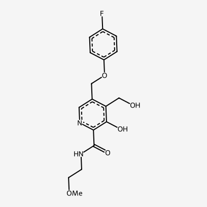 COCCNC(=O)c1ncc(COc2ccc(F)cc2)c(CO)c1O